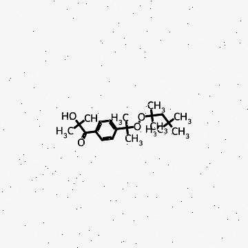 CC(C)(C)CC(C)(C)OOC(C)(C)c1ccc(C(=O)C(C)(C)O)cc1